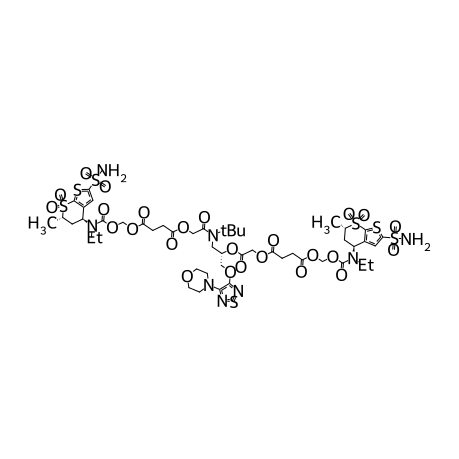 CCN(C(=O)OCOC(=O)CCC(=O)OCC(=O)O[C@H](COc1nsnc1N1CCOCC1)CN(C(=O)COC(=O)CCC(=O)OCOC(=O)N(CC)[C@H]1C[C@H](C)S(=O)(=O)c2sc(S(N)(=O)=O)cc21)C(C)(C)C)[C@H]1C[C@H](C)S(=O)(=O)c2sc(S(N)(=O)=O)cc21